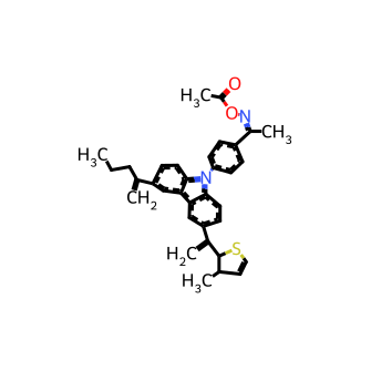 C=C(CCC)c1ccc2c(c1)c1cc(C(=C)C3SC=CC3C)ccc1n2-c1ccc(/C(C)=N\OC(C)=O)cc1